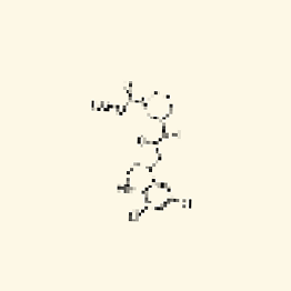 CC(C)(C)OC(=O)N1CCCC(NC(=O)CC2CCNc3c(Cl)cc(Cl)cc32)C1